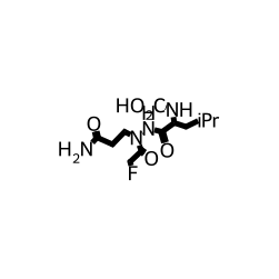 CC(C)CC(NC(=O)O)C(=O)NN(CCC(N)=O)C(=O)CF